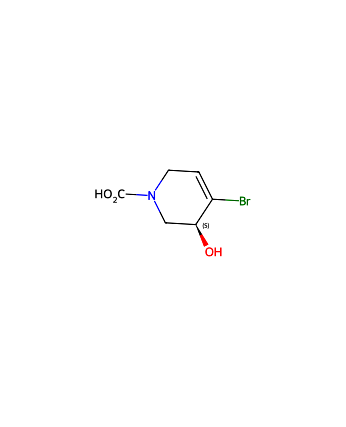 O=C(O)N1CC=C(Br)[C@@H](O)C1